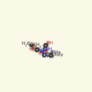 COc1ccc(C[N+]2(C)CCC/C(=[N+](\C(=O)Nc3ccc(OS(=O)(=O)c4cc(C)sc4C)cc3)[C@@H](Cc3ccc(O)cc3)C(N)=O)C2)cc1OC